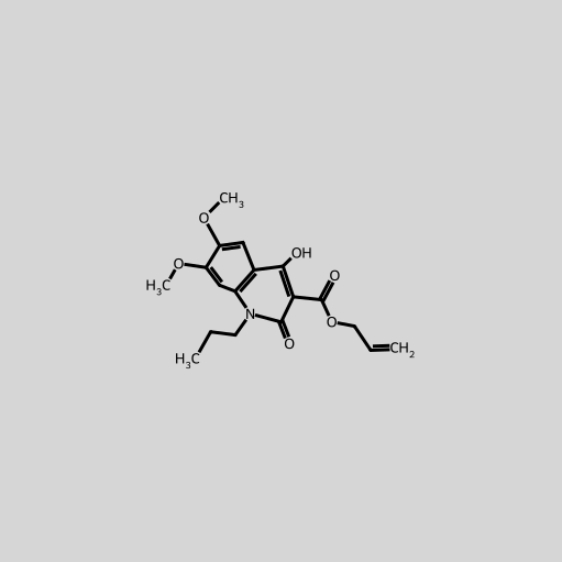 C=CCOC(=O)c1c(O)c2cc(OC)c(OC)cc2n(CCC)c1=O